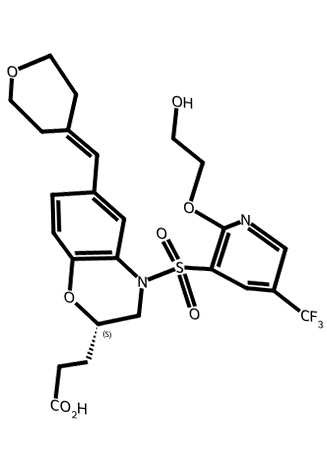 O=C(O)CC[C@H]1CN(S(=O)(=O)c2cc(C(F)(F)F)cnc2OCCO)c2cc(C=C3CCOCC3)ccc2O1